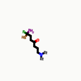 CCN(CC)CCCC(=O)CCC(F)(P)S